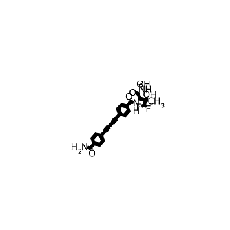 CC(O)(C(F)F)[C@H](NC(=O)c1ccc(C#CC#Cc2ccc(C(N)=O)cc2)cc1)C(=O)NO